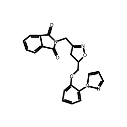 O=C1c2ccccc2C(=O)N1CC1=NOC(COc2ccccc2-n2cccn2)C1